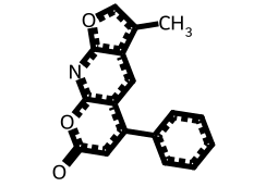 Cc1coc2nc3oc(=O)cc(-c4ccccc4)c3cc12